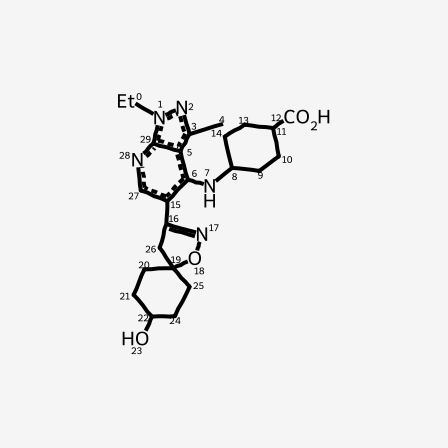 CCn1nc(C)c2c(NC3CCC(C(=O)O)CC3)c(C3=NOC4(CCC(O)CC4)C3)cnc21